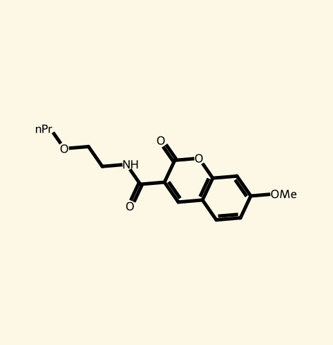 CCCOCCNC(=O)c1cc2ccc(OC)cc2oc1=O